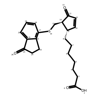 O=C(O)CCCCCC[C@H]1C=CC(=O)[C@@H]1CSc1cccc2c1CCC2=O